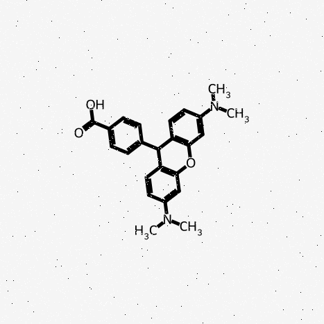 CN(C)c1ccc2c(c1)Oc1cc(N(C)C)ccc1C2c1ccc(C(=O)O)cc1